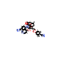 C[C@]12CC[C@](CCOc3ccc(C#N)cc3)(O1)[C@@H]1C(=O)N(c3ccc(C#N)c4ncccc34)C(=O)[C@@H]12